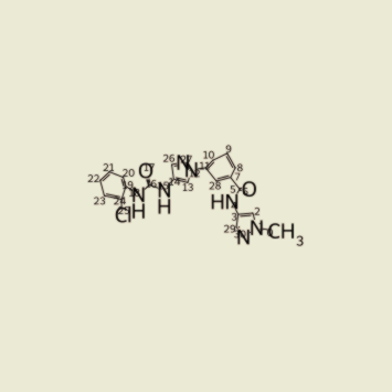 Cn1cc(NC(=O)c2cccc(-n3cc(NC(=O)Nc4ccccc4Cl)cn3)c2)cn1